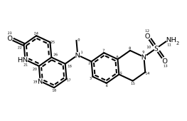 CN(c1ccc2c(c1)CN(S(N)(=O)=O)CC2)c1ccnc2[nH]c(=O)ccc12